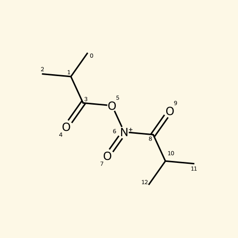 CC(C)C(=O)O[N+](=O)C(=O)C(C)C